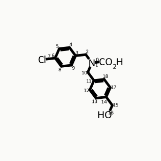 O=C(O)N(Cc1ccc(Cl)cc1)Cc1ccc(CO)cc1